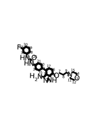 Nc1n[nH]c2c(OCCCN3CCOCC3)ccc(-c3ccc(NC(=O)Nc4cccc(F)c4)cc3)c12